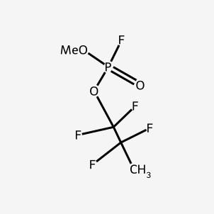 COP(=O)(F)OC(F)(F)C(C)(F)F